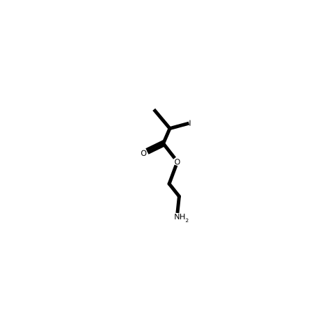 CC(I)C(=O)OCCN